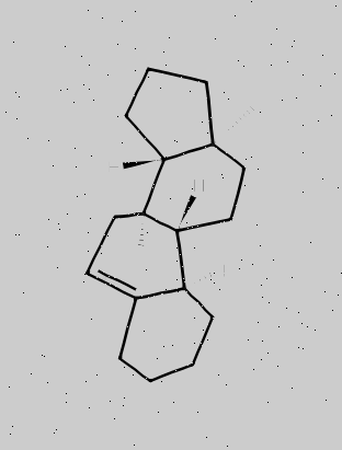 C[C@@]12CCC[C@H]1[C@@H]1CC=C3CCCC[C@@H]3[C@H]1CC2